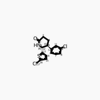 O=C1CC[C@@H](c2cccc(Cl)c2)[C@H](c2ccc(Cl)s2)N1